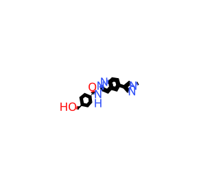 Cn1cc(-c2ccc3nnc(NC(=O)[C@H]4CC[C@H](CO)CC4)cc3c2)cn1